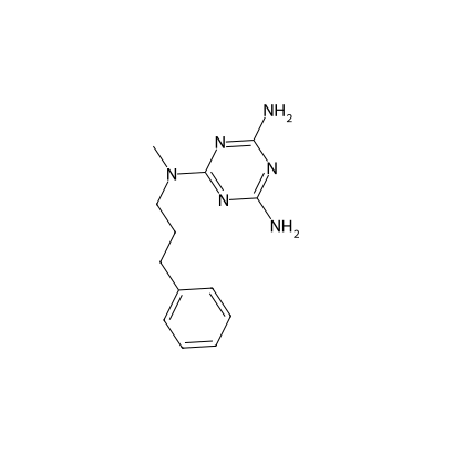 CN(CCCc1ccccc1)c1nc(N)nc(N)n1